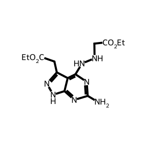 CCOC(=O)CNNc1nc(N)nc2[nH]nc(CC(=O)OCC)c12